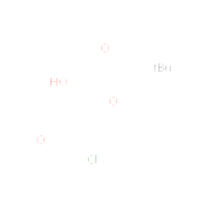 CC(C)(C)C(=O)OC(O)C(=O)Cl